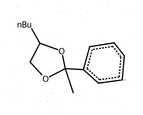 CCCCC1COC(C)(c2c[c]ccc2)O1